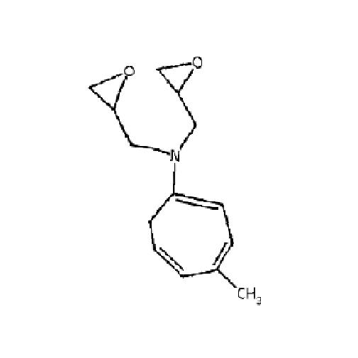 CC1=CC=C(N(CC2CO2)CC2CO2)CC=C1